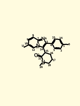 Cc1ccc(-c2nc3ccc(C)cn3c2C2CCCN(C)C2=O)cc1